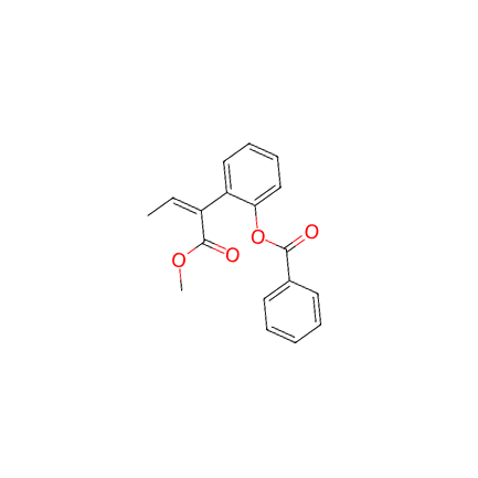 CC=C(C(=O)OC)c1ccccc1OC(=O)c1ccccc1